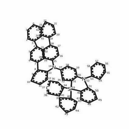 c1ccc(-c2ccc(-c3ccccc3N(c3ccc(-c4ccccc4)cc3)c3ccc4c(c3)[Si](c3ccccc3)(c3ccccc3)c3ccccc3N4c3ccccc3)cc2)cc1